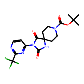 CC(C)(C)OC(=O)N1CCC2(CC1)NC(=O)N(c1ccnc(C(F)(F)F)n1)C2=O